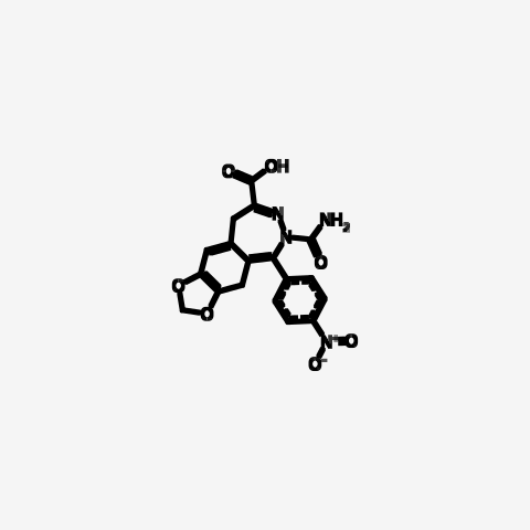 NC(=O)N1N=C(C(=O)O)CC2=CC3=C(CC2=C1c1ccc([N+](=O)[O-])cc1)OCO3